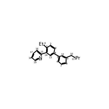 CCc1ccc(-c2cccc(CC(C)C)c2)cc1-c1ccccn1